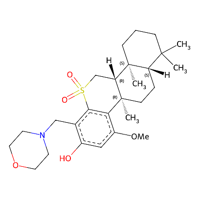 COc1cc(O)c(CN2CCOCC2)c2c1[C@]1(C)CC[C@H]3C(C)(C)CCC[C@]3(C)[C@H]1CS2(=O)=O